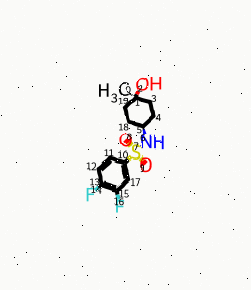 C[C@]1(O)CC[C@@H](NS(=O)(=O)c2ccc(F)c(F)c2)CC1